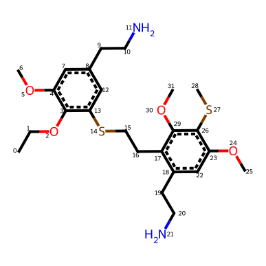 CCOc1c(OC)cc(CCN)cc1SCCc1c(CCN)cc(OC)c(SC)c1OC